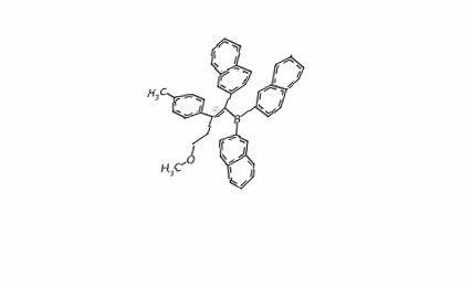 COCC/C(=C(\B(c1ccc2ccccc2c1)c1ccc2ccccc2c1)c1ccc2ccccc2c1)c1ccc(C)cc1